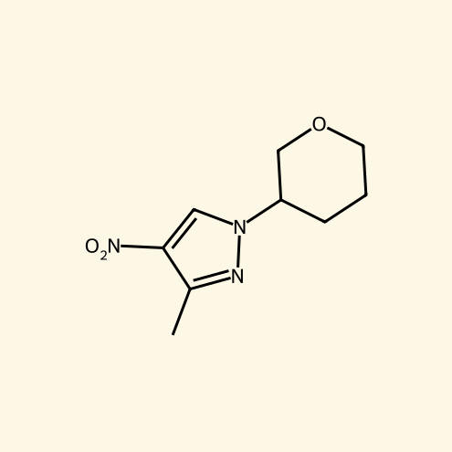 Cc1nn(C2CCCOC2)cc1[N+](=O)[O-]